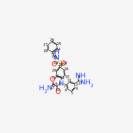 N=C(N)c1cccc(N(C(=O)C(N)=O)c2ccc(S(=O)(=O)NCc3ccccc3)cc2)c1